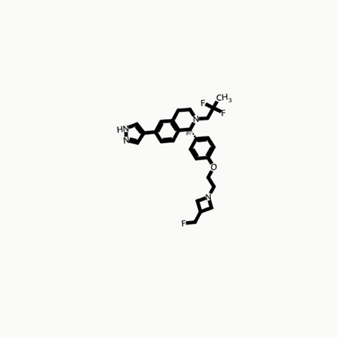 CC(F)(F)CN1CCc2cc(-c3cn[nH]c3)ccc2[C@H]1c1ccc(OCCN2CC(CF)C2)cc1